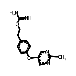 Cc1ncc(Oc2ccc(CCOC(=N)N)cc2)cn1